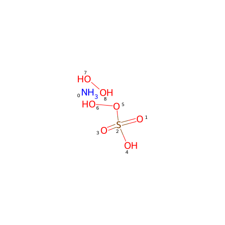 N.O=S(=O)(O)OO.OO